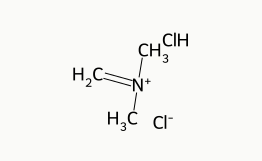 C=[N+](C)C.Cl.[Cl-]